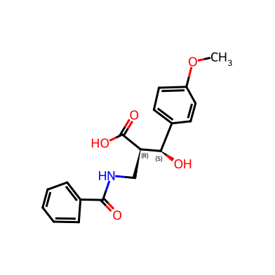 COc1ccc([C@@H](O)[C@@H](CNC(=O)c2ccccc2)C(=O)O)cc1